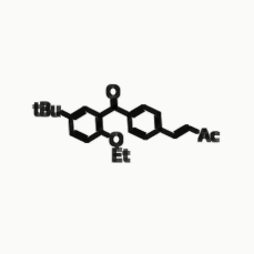 CCOc1ccc(C(C)(C)C)cc1C(=O)c1ccc(/C=C/C(C)=O)cc1